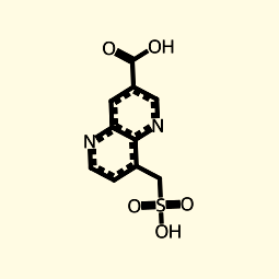 O=C(O)c1cnc2c(CS(=O)(=O)O)ccnc2c1